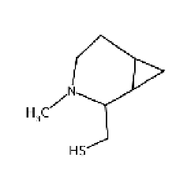 CN1CCC2CC2C1CS